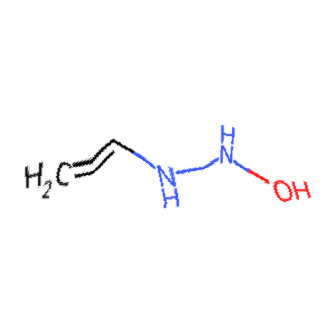 C=CNNO